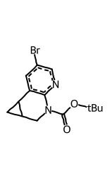 CC(C)(C)OC(=O)N1CC2CC2c2cc(Br)cnc21